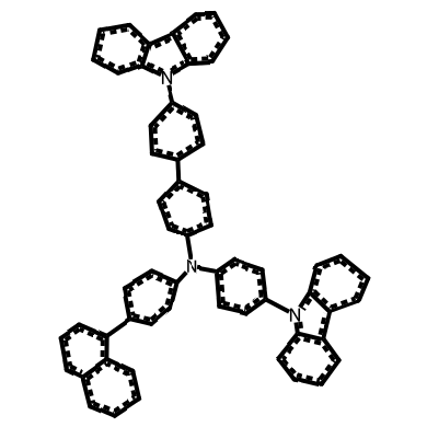 c1ccc2c(-c3ccc(N(c4ccc(-c5ccc(-n6c7ccccc7c7ccccc76)cc5)cc4)c4ccc(-n5c6ccccc6c6ccccc65)cc4)cc3)cccc2c1